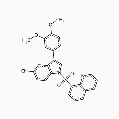 COc1ccc(-c2cn(S(=O)(=O)c3cccc4cccnc34)c3ccc(Cl)cc23)cc1OC